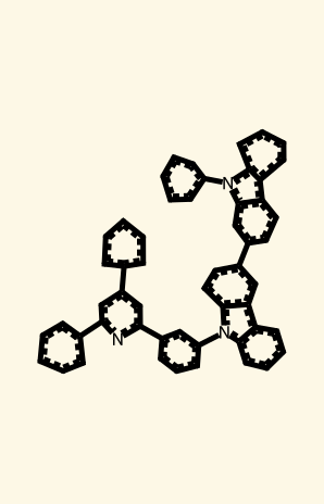 c1ccc(-c2cc(-c3ccccc3)nc(-c3cccc(-n4c5ccccc5c5cc(-c6ccc7c8ccccc8n(-c8ccccc8)c7c6)ccc54)c3)c2)cc1